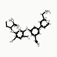 CCC(Oc1nc(Oc2cc(C#N)cc(-c3cccc(CN)c3)c2)c(F)cc1F)C(=O)O